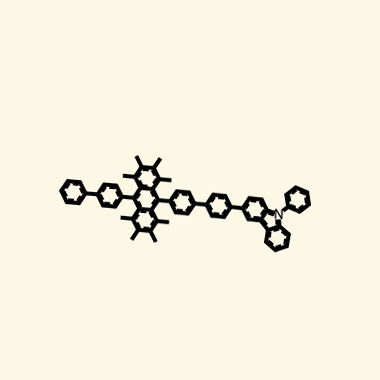 Cc1c(C)c(C)c2c(-c3ccc(-c4ccc(-c5ccc6c(c5)c5ccccc5n6-c5ccccc5)cc4)cc3)c3c(C)c(C)c(C)c(C)c3c(-c3ccc(-c4ccccc4)cc3)c2c1C